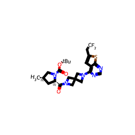 C[C@H]1C[C@@H](C(=O)N2CC3(C2)CN(c2ncnc4sc(CC(F)(F)F)cc24)C3)N(C(=O)OC(C)(C)C)C1